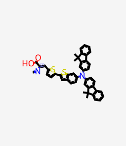 C=N/C(=C\c1ccc(-c2cc3ccc(N(c4ccc5c(c4)C(C)(C)c4ccccc4-5)c4ccc5c(c4)C(C)(C)c4ccccc4-5)cc3s2)s1)C(=O)O